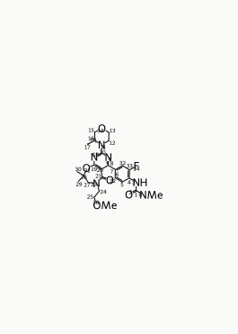 CNC(=O)Nc1ccc(-c2nc(N3CCOC[C@@H]3C)nc3c2C(=O)N(CCOC)CC(C)(C)O3)cc1F